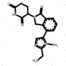 Cn1c(-c2cccc3c2CN(C2CCC(=O)NC2=O)C3=O)cnc1CN